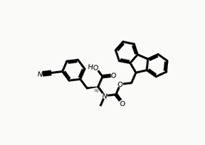 CN(C(=O)OCC1c2ccccc2-c2ccccc21)[C@@H](Cc1cccc(C#N)c1)C(=O)O